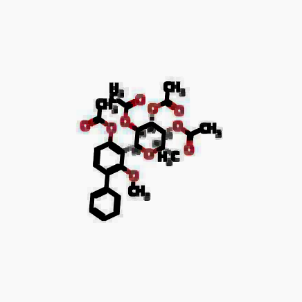 COc1c(-c2ccccc2)ccc(OC(C)=O)c1[C@H]1O[C@@H](C)[C@@H](OC(C)=O)[C@@H](OC(C)=O)[C@@H]1OC(C)=O